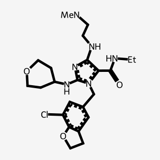 CCNC(=O)c1c(NCCNC)nc(NC2CCOCC2)n1Cc1cc(Cl)c2c(c1)CCO2